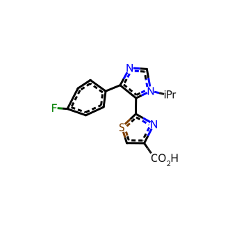 CC(C)n1cnc(-c2ccc(F)cc2)c1-c1nc(C(=O)O)cs1